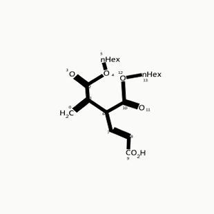 C=C(C(=O)OCCCCCC)C(C=CC(=O)O)C(=O)OCCCCCC